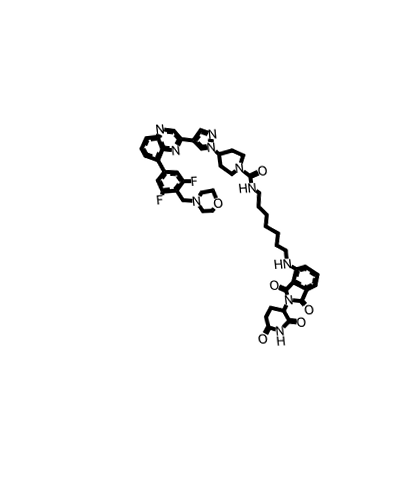 O=C1CCC(N2C(=O)c3cccc(NCCCCCCCNC(=O)N4CCC(n5cc(-c6cnc7cccc(-c8cc(F)c(CN9CCOCC9)c(F)c8)c7n6)cn5)CC4)c3C2=O)C(=O)N1